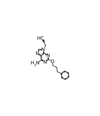 C#CCn1cnc2c(N)nc(OCCCc3ccccc3)nc21